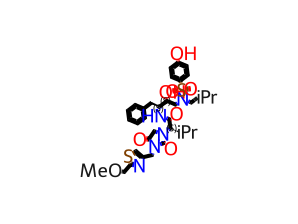 COCc1nc(CN2C(=O)CN([C@H](C(=O)N[C@@H](Cc3ccccc3)[C@@H](O)CN(CC(C)C)S(=O)(=O)c3ccc(O)cc3)C(C)C)C2=O)cs1